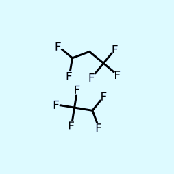 FC(F)C(F)(F)F.FC(F)CC(F)(F)F